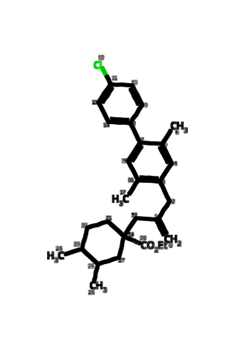 C=C(Cc1cc(C)c(-c2ccc(Cl)cc2)cc1C)CC1(C(=O)OCC)CCC(C)C(C)C1